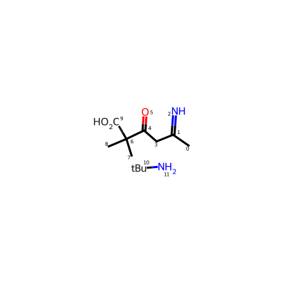 CC(=N)CC(=O)C(C)(C)C(=O)O.CC(C)(C)N